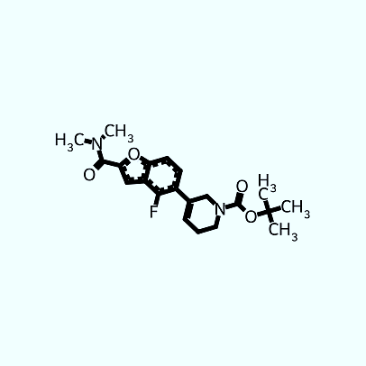 CN(C)C(=O)c1cc2c(F)c(C3=CCCN(C(=O)OC(C)(C)C)C3)ccc2o1